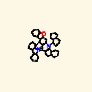 c1ccc2c(N3c4cc5oc6ccccc6c5c5c4B(c4ccc6ccccc6c43)n3c4ccccc4c4cccc-5c43)cccc2c1